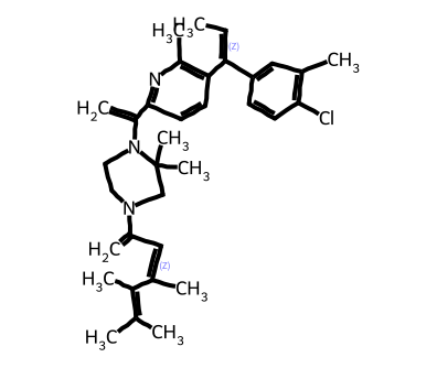 C=C(/C=C(/C)C(C)=C(C)C)N1CCN(C(=C)c2ccc(/C(=C\C)c3ccc(Cl)c(C)c3)c(C)n2)C(C)(C)C1